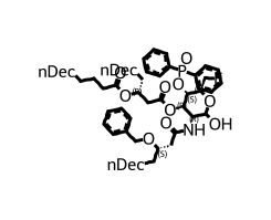 CCCCCCCCCCCCCC(=O)O[C@H](CCCCCCCCCCC)CC(=O)O[C@H]1[C@H](OP(=O)(c2ccccc2)c2ccccc2)[C@@H](CF)OC(O)[C@@H]1NC(=O)C[C@H](CCCCCCCCCCC)OCc1ccccc1